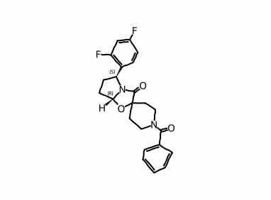 O=C(c1ccccc1)N1CCC2(CC1)O[C@@H]1CC[C@@H](c3ccc(F)cc3F)N1C2=O